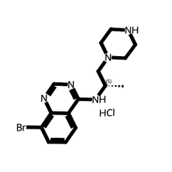 C[C@@H](CN1CCNCC1)Nc1ncnc2c(Br)cccc12.Cl